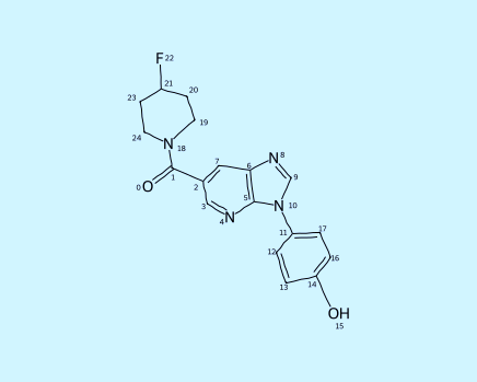 O=C(c1cnc2c(c1)ncn2-c1ccc(O)cc1)N1CCC(F)CC1